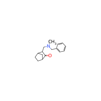 CN(Cc1ccccc1)CC1C(=O)C2CCC1C2